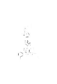 Cc1cccc(-c2nc(N)c(Cl)c(-c3cn(Cc4cccn(CC(C)(C)O)c4=O)nn3)n2)c1C